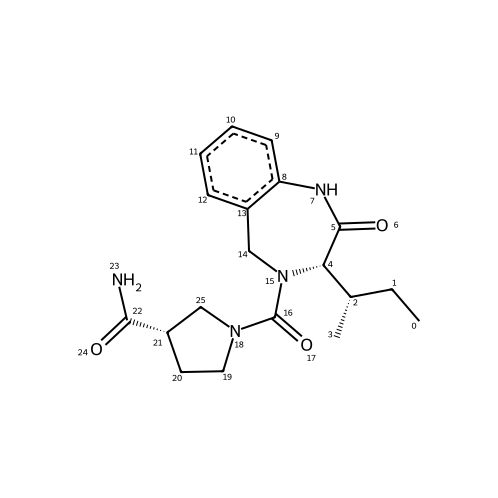 CC[C@H](C)[C@H]1C(=O)Nc2ccccc2CN1C(=O)N1CC[C@H](C(N)=O)C1